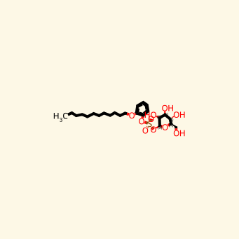 CCCCCCCCCCCCOc1ccccc1OS(=O)(=O)O[C@@H]1O[C@H](CO)[C@@H](O)[C@H](O)[C@@H]1O